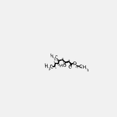 CCCC[C@@H](C)C/C(O)=C/C(=O)OCC